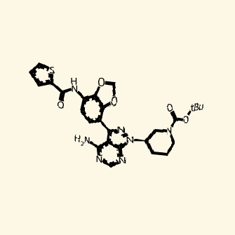 CC(C)(C)OC(=O)N1CCC[C@@H](n2nc(-c3ccc(NC(=O)c4cccs4)c4c3OCO4)c3c(N)ncnc32)C1